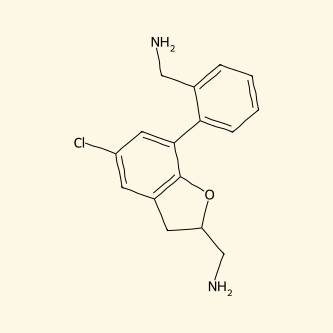 NCc1ccccc1-c1cc(Cl)cc2c1OC(CN)C2